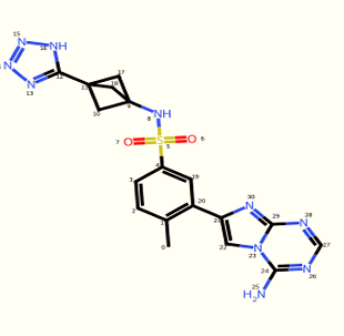 Cc1ccc(S(=O)(=O)NC23CC(c4nnn[nH]4)(C2)C3)cc1-c1cn2c(N)ncnc2n1